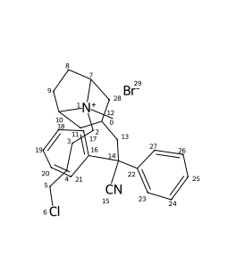 C[N+]1(CCCCCl)C2CCC1CC(CC(C#N)(c1ccccc1)c1ccccc1)C2.[Br-]